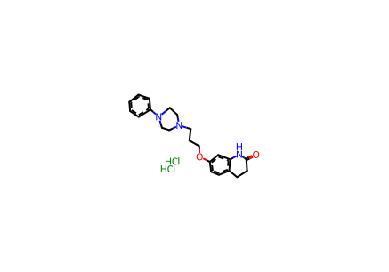 Cl.Cl.O=C1CCc2ccc(OCCCN3CCN(c4ccccc4)CC3)cc2N1